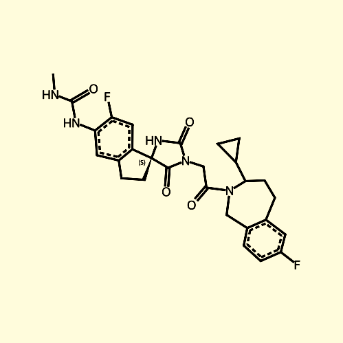 CNC(=O)Nc1cc2c(cc1F)[C@]1(CC2)NC(=O)N(CC(=O)N2Cc3ccc(F)cc3CCC2C2CC2)C1=O